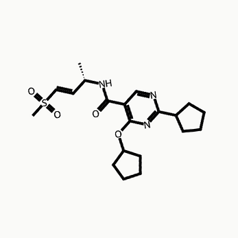 C[C@@H](/C=C/S(C)(=O)=O)NC(=O)c1cnc(C2CCCC2)nc1OC1CCCC1